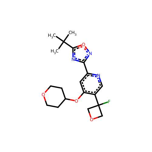 CC(C)(C)c1nc(-c2cc(OC3CCOCC3)c(C3(F)COC3)cn2)no1